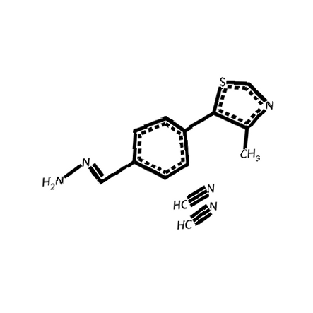 C#N.C#N.Cc1ncsc1-c1ccc(C=NN)cc1